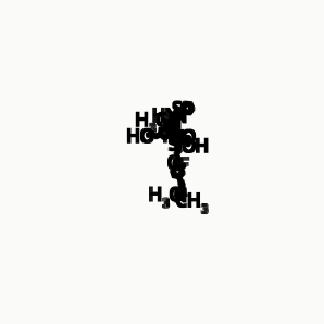 Cc1c(Nc2nc3ccccc3s2)nnc2c1CC(CCO)CN2c1nc(C(=O)O)c(CCCOc2ccc(C#CCN(C)C)cc2F)s1